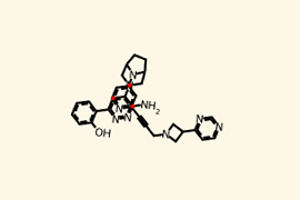 Nc1nnc(-c2ccccc2O)cc1N1CC2CCC(C1)N2c1ccnc(C#CCN2CC(c3ccncn3)C2)c1